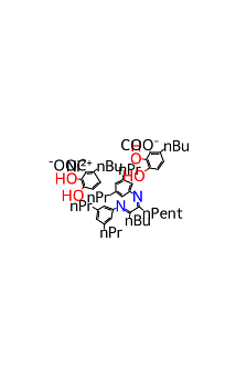 CCCCCC(=Nc1cc(CCC)cc(CCC)c1)C(CCCC)=Nc1cc(CCC)cc(CCC)c1.CCCCc1ccc(O)c(O)c1C(=O)[O-].CCCCc1ccc(O)c(O)c1C(=O)[O-].[Ni+2]